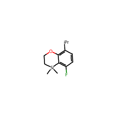 CC(C)c1ccc(F)c2c1OCC[Si]2(C)C